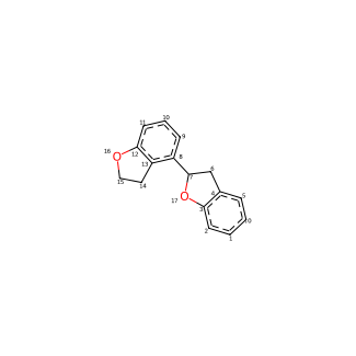 [c]1ccc2c(c1)CC(c1cccc3c1CCO3)O2